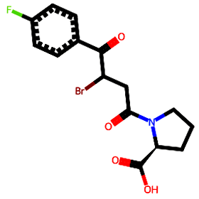 O=C(c1ccc(F)cc1)C(Br)CC(=O)N1CCC[C@H]1C(=O)O